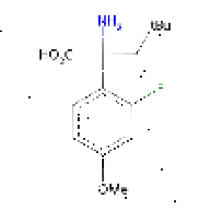 COc1ccc(C(N)(CC(C)(C)C)C(=O)O)c(F)c1